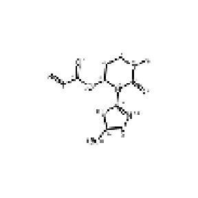 C=CC(=O)OC1CCN(C)C(=O)N1c1nnc(C(C)(C)C)s1